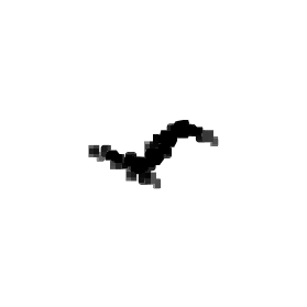 CCCCCNC(=O)Nc1ccc(Oc2ccc(NC(=O)c3ccc(OC4CCN(CCCC)CC4)cc3F)cc2)c(OC)c1